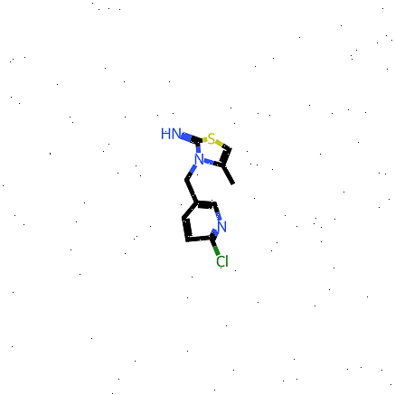 Cc1csc(=N)n1Cc1ccc(Cl)nc1